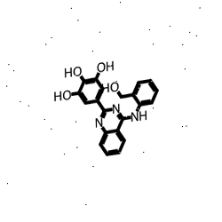 OCc1ccccc1Nc1nc(-c2cc(O)c(O)c(O)c2)nc2ccccc12